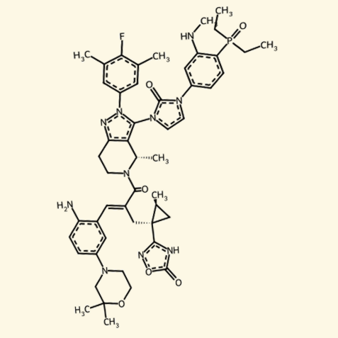 CCP(=O)(CC)c1ccc(-n2ccn(-c3c4c(nn3-c3cc(C)c(F)c(C)c3)CCN(C(=O)/C(=C/c3cc(N5CCOC(C)(C)C5)ccc3N)C[C@@]3(c5noc(=O)[nH]5)C[C@@H]3C)[C@H]4C)c2=O)cc1NC